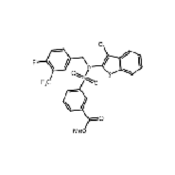 COC(=O)c1cccc(S(=O)(=O)N(Cc2ccc(F)c(C(F)(F)F)c2)c2sc3ccccc3c2Cl)c1